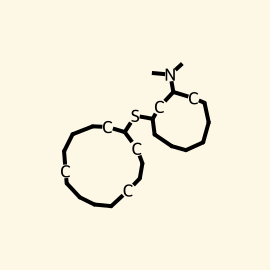 CN(C)C1CCCCCCCC(SC2CCCCCCCCCCCCC2)C1